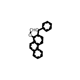 O=COc1c(Cc2ccccc2)ccc2c1ccc1ccccc12